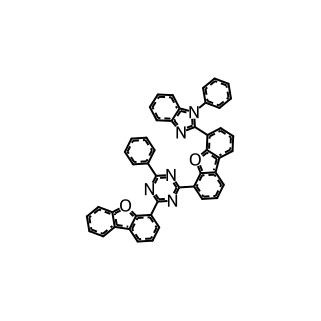 c1ccc(-c2nc(-c3cccc4c3oc3ccccc34)nc(-c3cccc4c3oc3c(-c5nc6ccccc6n5-c5ccccc5)cccc34)n2)cc1